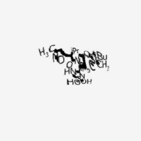 Cc1cc(C(C(=O)N2C[C@H](O[Si](C)(C)C(C)(C)C)C[C@H]2C2=NS(O)(O)CN2)C(C)C)on1